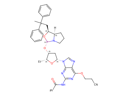 CC[C@H]1O[C@@H](n2cnc3c(OCCC#N)nc(NC(=O)C(C)C)nc32)C[C@H]1O[P@]1O[C@@H](C[Si](C)(c2ccccc2)c2ccccc2)[C@H]2CCCN21